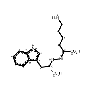 NCCCC[C@H](NN[C@@H](Cc1c[nH]c2ccccc12)C(=O)O)C(=O)O